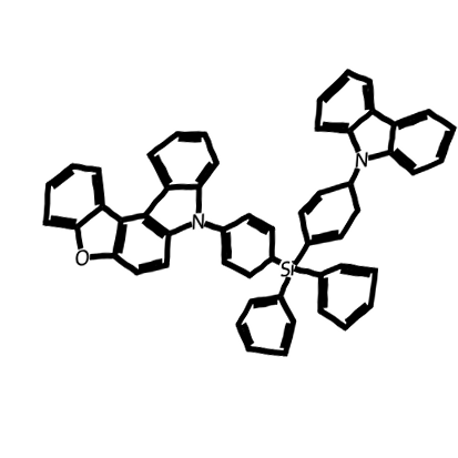 C1=CC([Si](C2=CCC(n3c4ccccc4c4ccccc43)C=C2)(c2ccccc2)c2ccccc2)CC=C1n1c2ccccc2c2c3c(ccc21)oc1ccccc13